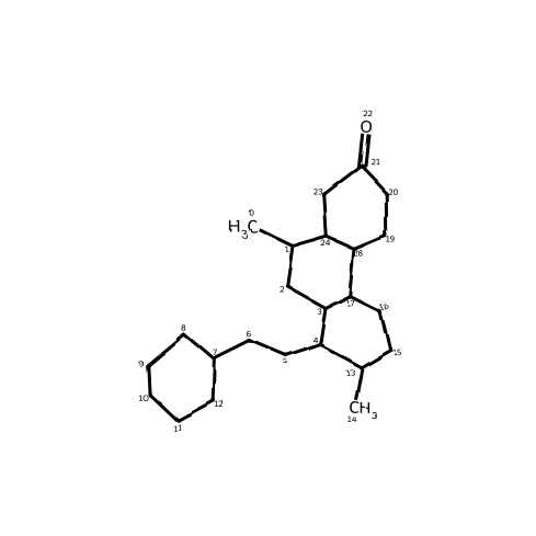 CC1CC2C(CCC3CCCCC3)C(C)CCC2C2CCC(=O)CC12